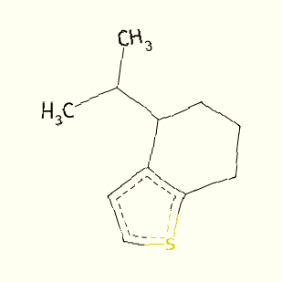 CC(C)C1CCCc2sccc21